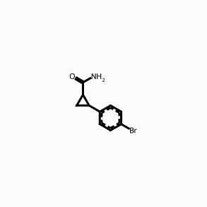 NC(=O)C1CC1c1ccc(Br)cc1